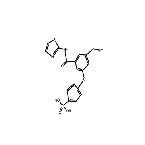 CC(C)Cc1cc(Oc2ccc(P(=O)(O)O)cc2)cc(C(=O)Nc2nccs2)c1